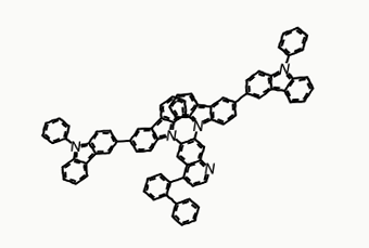 c1ccc(-c2ccccc2-c2ccnc3cc(-n4c5ccccc5c5cc(-c6ccc7c(c6)c6ccccc6n7-c6ccccc6)ccc54)c(-n4c5ccccc5c5cc(-c6ccc7c(c6)c6ccccc6n7-c6ccccc6)ccc54)cc23)cc1